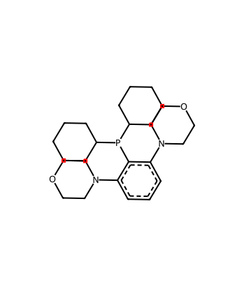 c1cc(N2CCOCC2)c(P(C2CCCCC2)C2CCCCC2)c(N2CCOCC2)c1